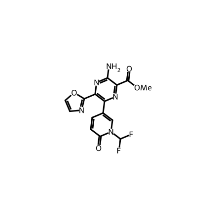 COC(=O)c1nc(-c2ccc(=O)n(C(F)F)c2)c(-c2ncco2)nc1N